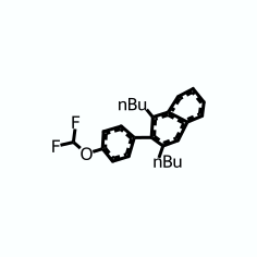 CCCCc1cc2ccccc2c(CCCC)c1-c1ccc(OC(F)F)cc1